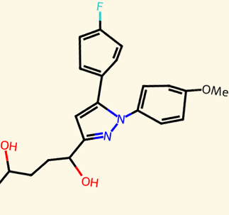 COc1ccc(-n2nc(C(O)CCC(C)O)cc2-c2ccc(F)cc2)cc1